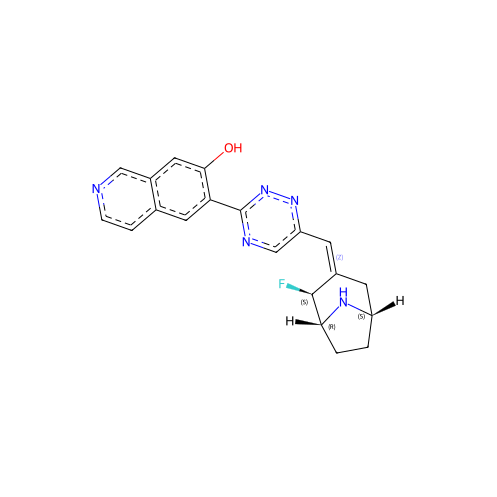 Oc1cc2cnccc2cc1-c1ncc(/C=C2/C[C@@H]3CC[C@@H](N3)[C@H]2F)nn1